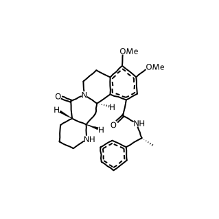 COc1cc(C(=O)N[C@H](C)c2ccccc2)c2c(c1OC)CCN1C(=O)[C@H]3CCCN[C@H]3C[C@H]21